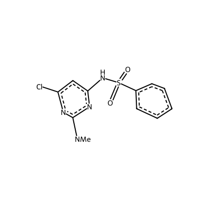 CNc1nc(Cl)cc(NS(=O)(=O)c2ccccc2)n1